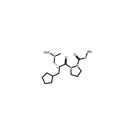 CN(C=O)C[C@@H](CC1CCCC1)C(=O)N1CCCN1C(=O)OC(C)(C)C